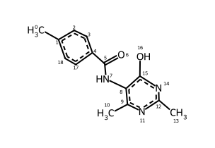 Cc1ccc(C(=O)Nc2c(C)nc(C)nc2O)cc1